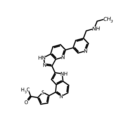 CCNCc1cncc(-c2ccc3[nH]nc(-c4cc5c(-c6ccc(C(C)=O)s6)nccc5[nH]4)c3n2)c1